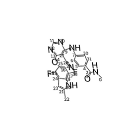 CNC(=O)c1ccc(Nc2ncnc(Oc3cc(F)c4[nH]c(C)cc4c3F)c2C#N)cc1